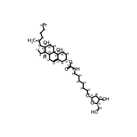 CC(C)CCC[C@H](C)[C@H]1CC[C@@H]2C3CC=C4C[C@@H](OC(=O)NCCCCCCO[C@H]5CC(O)[C@@H](CO)O5)CC[C@]4(C)C3CC[C@@]21C